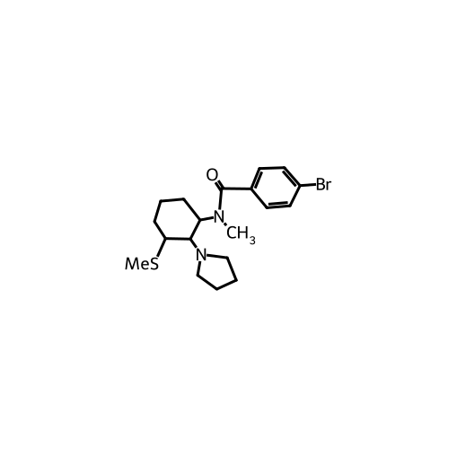 CSC1CCCC(N(C)C(=O)c2ccc(Br)cc2)C1N1CCCC1